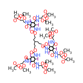 CC(=O)OCC(CNC(=O)c1c(I)c(NC(=O)OCCCC(CCCOC(=O)Nc2c(I)c(C(=O)NCC(COC(C)=O)OC(C)=O)c(I)c(C(=O)NCC(COC(C)=O)OC(C)=O)c2I)CCCOC(=O)Nc2c(I)c(C(=O)NCC(COC(C)=O)OC(C)=O)c(I)c(C(=O)NCC(COC(C)=O)OC(C)=O)c2I)c(I)c(C(=O)NCC(COC(C)=O)OC(C)=O)c1I)OC(C)=O